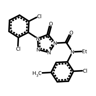 CCN(C(=O)n1nnn(-c2c(Cl)cccc2Cl)c1=O)c1cc(C)ccc1Cl